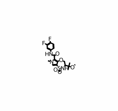 COC(C)(C)C1COc2c(cn(C)c2C(=O)Nc2ccc(F)c(F)c2)S(=O)(=O)N1